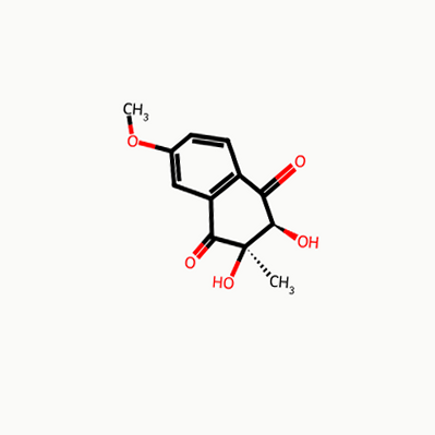 COc1ccc2c(c1)C(=O)[C@](C)(O)[C@H](O)C2=O